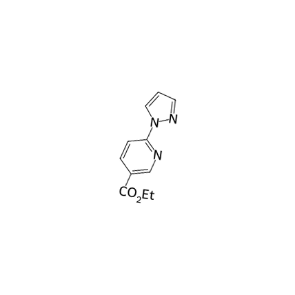 CCOC(=O)c1ccc(-n2cccn2)nc1